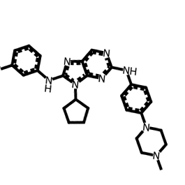 CN1CCN(c2ccc(Nc3ncc4nc(Nc5cccc(F)c5)n(C5CCCC5)c4n3)cc2)CC1